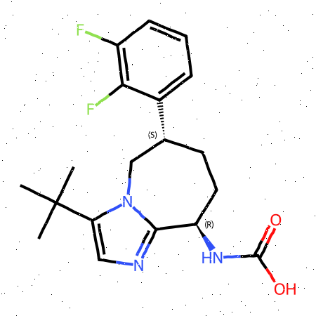 CC(C)(C)c1cnc2n1C[C@H](c1cccc(F)c1F)CC[C@H]2NC(=O)O